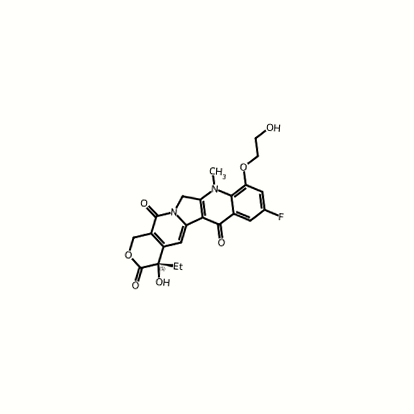 CC[C@@]1(O)C(=O)OCc2c1cc1n(c2=O)Cc2c-1c(=O)c1cc(F)cc(OCCO)c1n2C